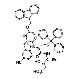 CC(C)[C@@H](NC(=O)[C@@H](CSC(c1ccccc1)(c1ccccc1)c1ccccc1)NC(=O)[C@@H](Cc1cccc(C#N)c1)NC(=O)OCC1c2ccccc2-c2ccccc21)[C@@H](O)CC(=O)O